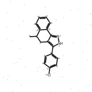 CC1Cc2c(n[nH]c2-c2ccc(Cl)cc2)-c2ccccc21